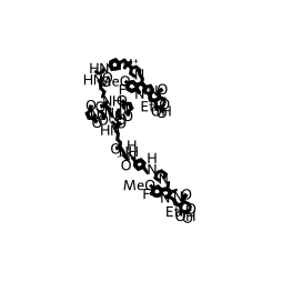 CC[C@@]1(O)C(=O)OCc2c1cc1n(c2=O)Cc2c-1nc1cc(F)c(OC)cc1c2CN1CCC(NCc2ccc(NC(=O)[C@H](C)NC(=O)CCCNC(=O)CN(C(=O)CN3C(=O)C=CC3=O)N(CC(=O)NCCCC(=O)NC(C)C(=O)Nc3ccc(C[N+](C)(C)C4CCN(Cc5c6c(nc7cc(F)c(OC)cc57)-c5cc7c(c(=O)n5C6)COC(=O)[C@]7(O)CC)CC4)cc3)C(=O)CN3C(=O)C=CC3=O)cc2)CC1